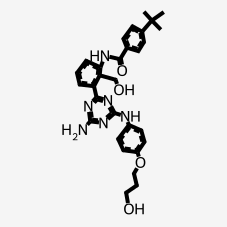 CC(C)(C)c1ccc(C(=O)Nc2cccc(-c3nc(N)nc(Nc4ccc(OCCCO)cc4)n3)c2CO)cc1